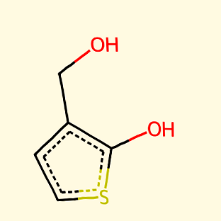 OCc1ccsc1O